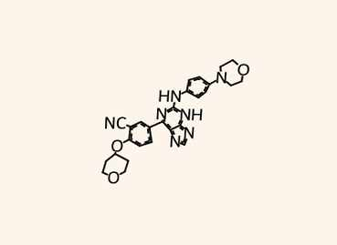 N#Cc1cc(-c2nc(Nc3ccc(N4CCOCC4)cc3)[nH]c3ncnc2-3)ccc1OC1CCOCC1